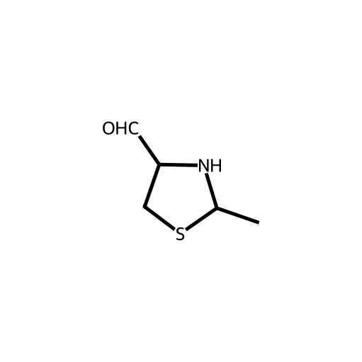 CC1NC(C=O)CS1